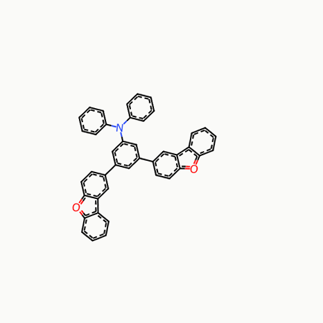 c1ccc(N(c2ccccc2)c2cc(-c3ccc4oc5ccccc5c4c3)cc(-c3ccc4oc5ccccc5c4c3)c2)cc1